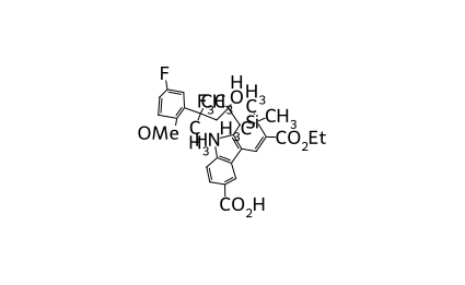 CCOC(=O)C(=Cc1c(CC(O)(CC(C)(C)c2cc(F)ccc2OC)C(F)(F)F)[nH]c2ccc(C(=O)O)cc12)[Si](C)(C)C